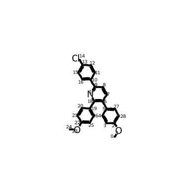 COc1ccc(-c2ccc(-c3ccc(Cl)cc3)nc2-c2ccc(OC)cc2)cc1